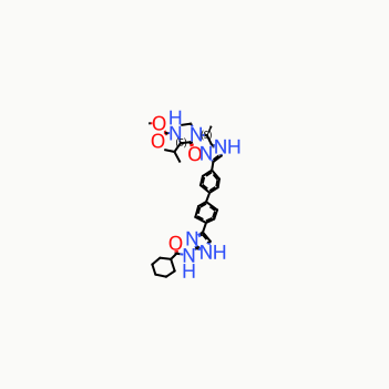 CCN(C(=O)[C@@H](NC(=O)OC)C(C)C)[C@@H](C)c1nc(-c2ccc(-c3ccc(-c4c[nH]c(NC(=O)C5CCCCC5)n4)cc3)cc2)c[nH]1